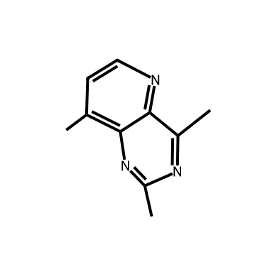 Cc1nc(C)c2nccc(C)c2n1